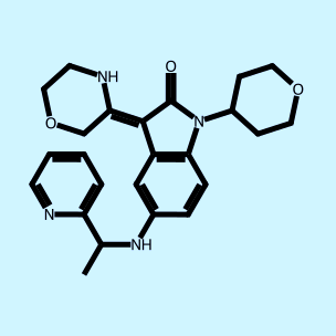 CC(Nc1ccc2c(c1)/C(=C1\COCCN1)C(=O)N2C1CCOCC1)c1ccccn1